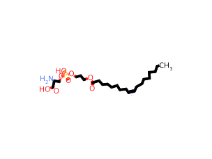 CCCCCCCC/C=C\CCCCCCCC(=O)OCCCOP(=O)(O)OCC(N)C(=O)O